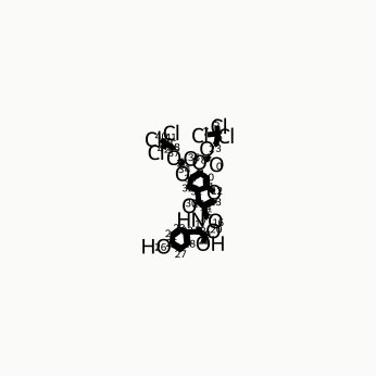 O=C(OCC(Cl)(Cl)Cl)Oc1cc2occ(C(=O)NC(C(=O)O)c3ccc(O)cc3)c(=O)c2cc1OC(=O)OCC(Cl)(Cl)Cl